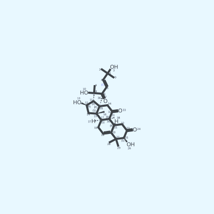 CC(C)(O)/C=C/C(=O)C(C)(O)[C@H]1[C@H](O)C[C@@]2(C)[C@@H]3CC=C4[C@@H](CC(=O)[C@@H](O)C4(C)C)[C@]3(C)C(=O)C[C@]12C